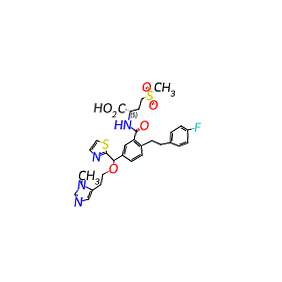 Cn1cncc1CCOC(c1ccc(CCc2ccc(F)cc2)c(C(=O)N[C@@H](CCS(C)(=O)=O)C(=O)O)c1)c1nccs1